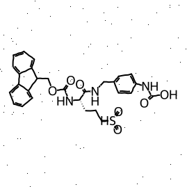 O=C(O)Nc1ccc(CNC(=O)[C@H](CCC[SH](=O)=O)NC(=O)OCC2c3ccccc3-c3ccccc32)cc1